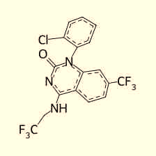 O=c1nc(NCC(F)(F)F)c2ccc(C(F)(F)F)cc2n1-c1ccccc1Cl